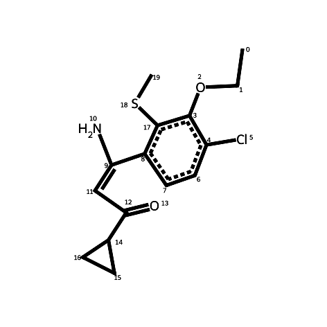 CCOc1c(Cl)ccc(/C(N)=C\C(=O)C2CC2)c1SC